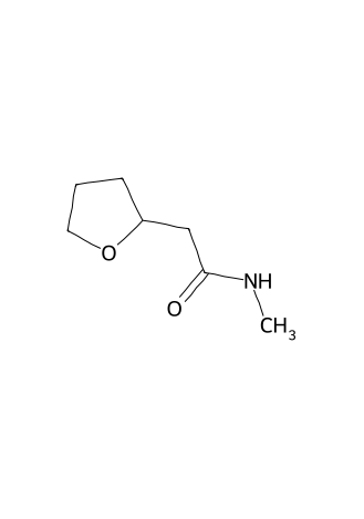 CNC(=O)CC1CCCO1